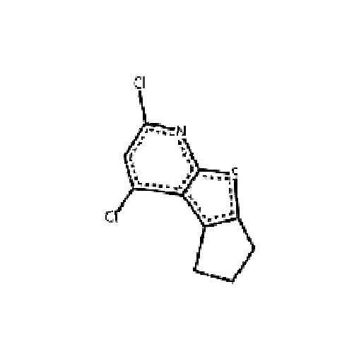 Clc1cc(Cl)c2c3c(sc2n1)CCC3